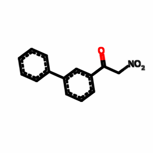 O=C(C[N+](=O)[O-])c1cccc(-c2ccccc2)c1